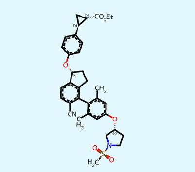 CCOC(=O)[C@H]1C[C@@H]1c1ccc(O[C@@H]2CCc3c2ccc(C#N)c3-c2c(C)cc(O[C@@H]3CCN(S(C)(=O)=O)C3)cc2C)cc1